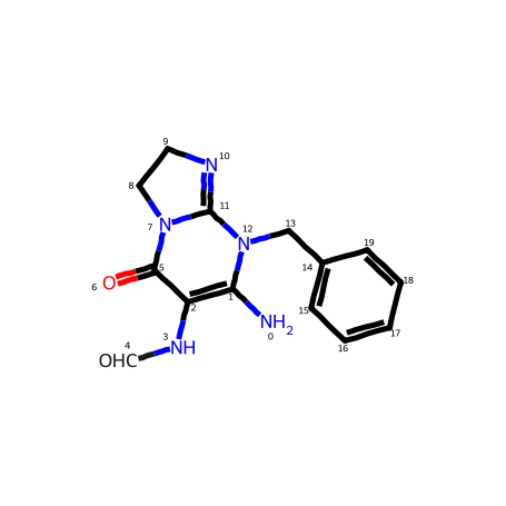 NC1=C(NC=O)C(=O)N2CCN=C2N1Cc1ccccc1